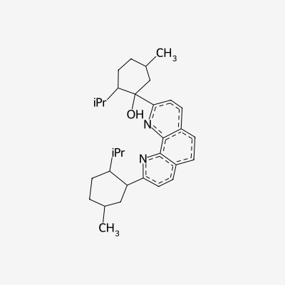 CC1CCC(C(C)C)C(c2ccc3ccc4ccc(C5(O)CC(C)CCC5C(C)C)nc4c3n2)C1